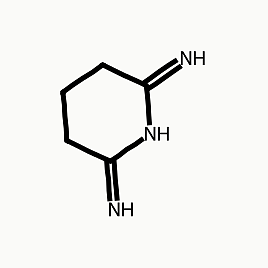 N=C1CCCC(=N)N1